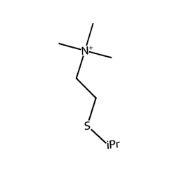 CC(C)SCC[N+](C)(C)C